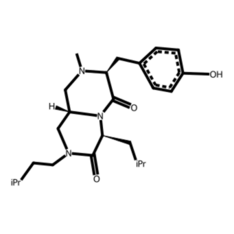 CC(C)CCN1C[C@@H]2CN(C)[C@@H](Cc3ccc(O)cc3)C(=O)N2[C@@H](CC(C)C)C1=O